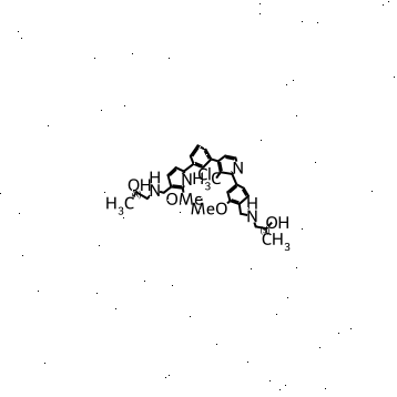 COc1cc(-c2nccc(-c3cccc(-c4ccc(CNC[C@@H](C)O)c(OC)n4)c3Cl)c2C)ccc1CNC[C@H](C)O